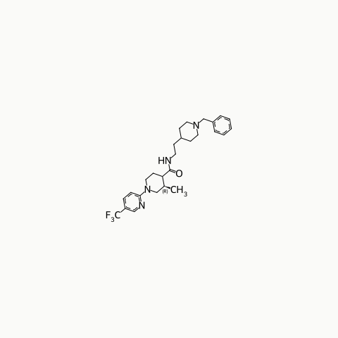 C[C@H]1CN(c2ccc(C(F)(F)F)cn2)CCC1C(=O)NCCC1CCN(Cc2ccccc2)CC1